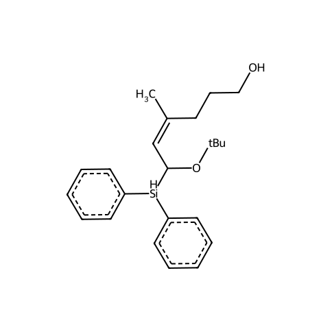 CC(=CC(OC(C)(C)C)[SiH](c1ccccc1)c1ccccc1)CCCO